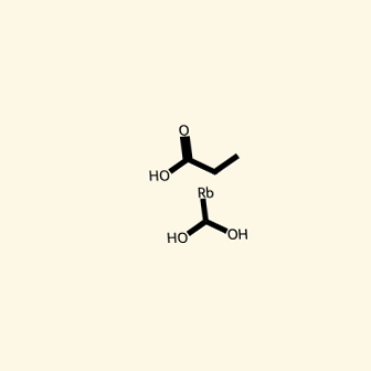 CCC(=O)O.O[CH](O)[Rb]